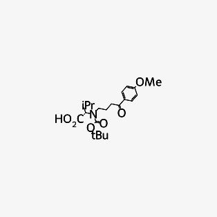 COc1ccc(C(=O)CCCN(C(=O)OC(C)(C)C)[C@H](C(=O)O)C(C)C)cc1